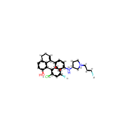 Oc1ccc2c(c1-c1ccc(F)cc1Cl)C(c1ccc(N[C@H]3CCN(CCCF)C3)cc1)=CCC2